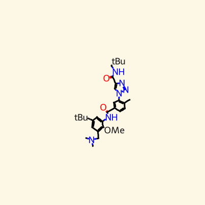 COc1c(CN(C)C)cc(C(C)(C)C)cc1NC(=O)c1ccc(C)c(-n2cc(C(=O)NCC(C)(C)C)nn2)c1